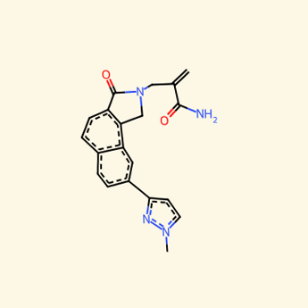 C=C(CN1Cc2c(ccc3ccc(-c4ccn(C)n4)cc23)C1=O)C(N)=O